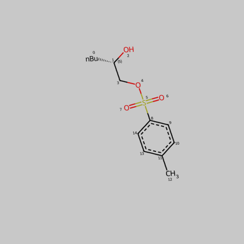 CCCC[C@H](O)COS(=O)(=O)c1ccc(C)cc1